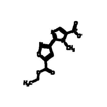 CCOC(=O)c1cc(-c2ncc([N+](=O)[O-])n2C)no1